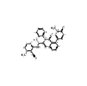 C[C@H](Nc1ncnc(N)c1C#N)c1cc2cccc(-c3ccc(=O)n(C)c3)c2c(=O)n1-c1ccccc1